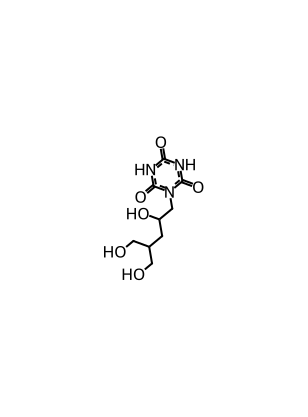 O=c1[nH]c(=O)n(CC(O)CC(CO)CO)c(=O)[nH]1